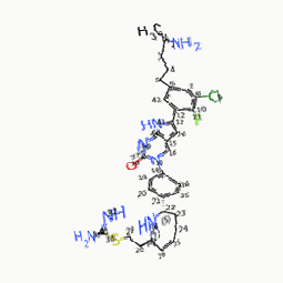 C[C@H](N)CCCc1cc(Cl)c(F)c(-c2cc3cn(-c4ccc([C@@H]5CCC=C[C@@H](CCSC(=N)N)N5)cc4)c(=O)nc3[nH]2)c1